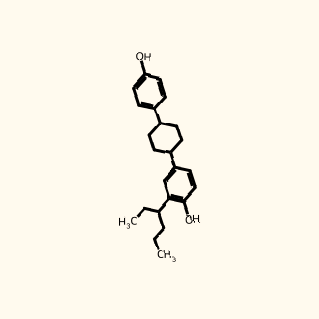 CCCC(CC)c1cc(C2CCC(c3ccc(O)cc3)CC2)ccc1O